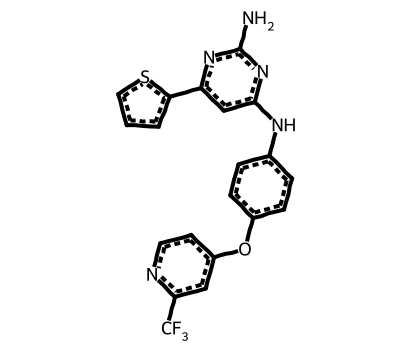 Nc1nc(Nc2ccc(Oc3ccnc(C(F)(F)F)c3)cc2)cc(-c2cccs2)n1